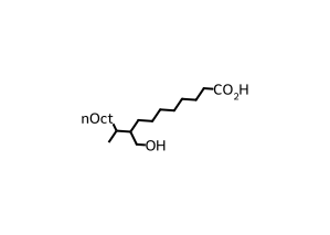 CCCCCCCCC(C)C(CO)CCCCCCCC(=O)O